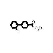 CCOC(=O)C(=O)c1ccc(-c2ccccc2Cl)cc1